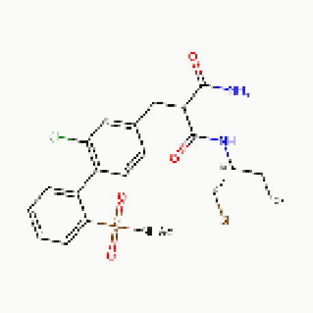 CC(=O)NS(=O)(=O)c1ccccc1-c1ccc(CC(C(N)=O)C(=O)N[C@@H](CS)CC(C)C)cc1Cl